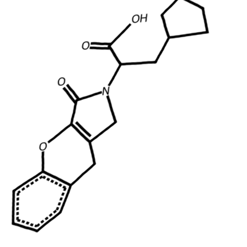 O=C(O)C(CC1CCCC1)N1CC2=C(Oc3ccccc3C2)C1=O